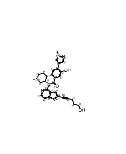 Cn1cc(-c2ccc(C(=O)N(c3nccc4sc(C#CCCCO)cc34)[C@@H]3CCCNC3)cc2O)cn1